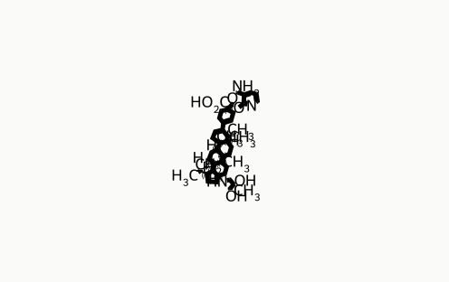 C=C(C)[C@@H]1CC[C@]2(NCC(C)(O)CO)CC[C@]3(C)[C@H](CC[C@@H]4[C@@]5(C)CC=C(C6=CC[C@](COc7ncccc7C(N)=O)(C(=O)O)CC6)C(C)(C)[C@@H]5CC[C@]43C)[C@@H]12